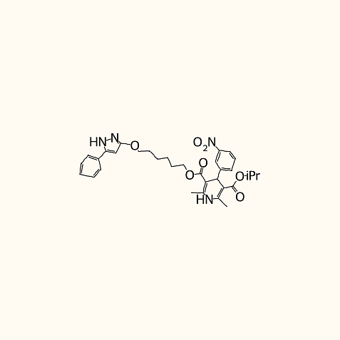 CC1=C(C(=O)OCCCCCCOc2cc(-c3ccccc3)[nH]n2)C(c2cccc([N+](=O)[O-])c2)C(C(=O)OC(C)C)=C(C)N1